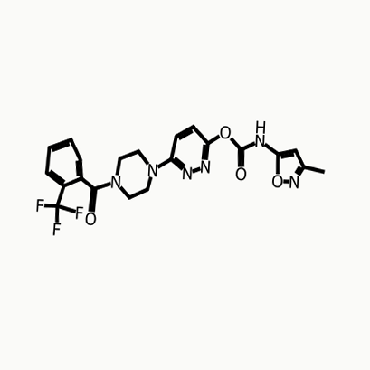 Cc1cc(NC(=O)Oc2ccc(N3CCN(C(=O)c4ccccc4C(F)(F)F)CC3)nn2)on1